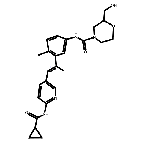 C/C(=C\c1ccc(NC(=O)C2CC2)nc1)c1cc(NC(=O)N2CCOC(CO)C2)ccc1C